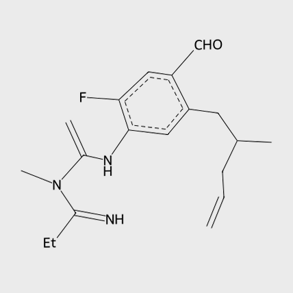 C=CCC(C)Cc1cc(NC(=C)N(C)C(=N)CC)c(F)cc1C=O